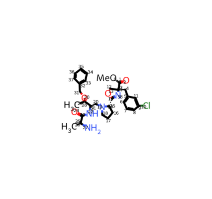 COC(=O)[C@@]1(Cc2cccc(Cl)c2)COC([C@@H]2CCCN2C[C@@H](NC(=O)[C@H](C)N)C(C)OCc2ccccc2)=N1